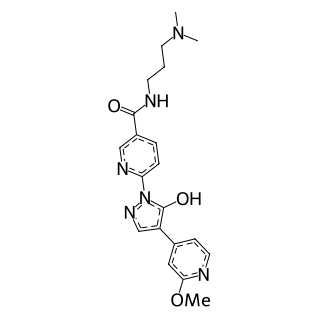 COc1cc(-c2cnn(-c3ccc(C(=O)NCCCN(C)C)cn3)c2O)ccn1